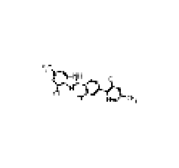 FC(F)(F)c1cnc(-c2ccc(-c3nc4c(Cl)cc(C(F)(F)F)cc4[nH]3)c(Cl)c2)c(Cl)c1